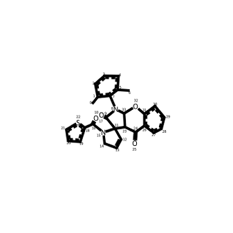 Cc1cccc(C)c1N1C(=O)C2(C=CCN2C(=O)c2cccs2)C2C(=O)c3ccccc3OC21